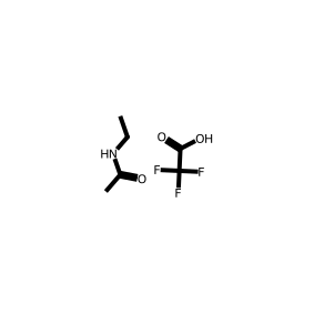 CCNC(C)=O.O=C(O)C(F)(F)F